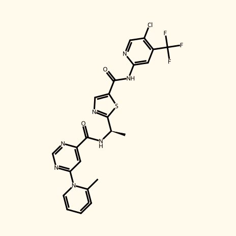 CC1=C=CC=CN1c1cc(C(=O)N[C@H](C)c2ncc(C(=O)Nc3cc(C(F)(F)F)c(Cl)cn3)s2)ncn1